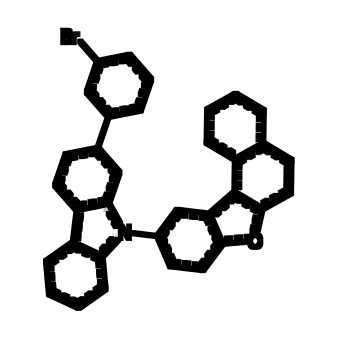 Brc1cccc(-c2ccc3c4ccccc4n(-c4ccc5oc6ccc7ccccc7c6c5c4)c3c2)c1